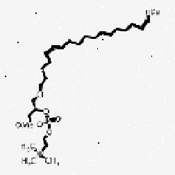 CCCC/C=C\CCCCCCCCCC/C=C\CCCCOC[C@H](COC)OP(=O)([O-])OCC[N+](C)(C)C